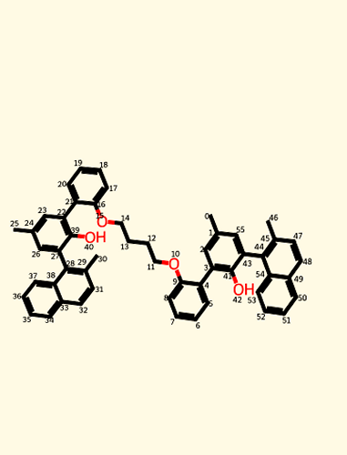 Cc1cc(-c2ccccc2OCCCCOc2ccccc2-c2cc(C)cc(-c3c(C)ccc4ccccc34)c2O)c(O)c(-c2c(C)ccc3ccccc23)c1